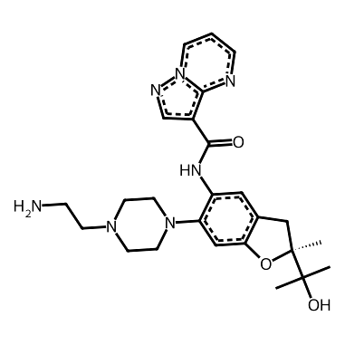 CC(C)(O)[C@]1(C)Cc2cc(NC(=O)c3cnn4cccnc34)c(N3CCN(CCN)CC3)cc2O1